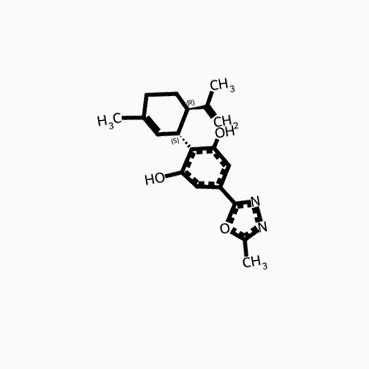 C=C(C)[C@@H]1CCC(C)=C[C@H]1c1c(O)cc(-c2nnc(C)o2)cc1O